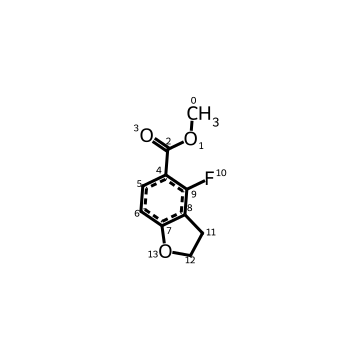 COC(=O)c1ccc2c(c1F)CCO2